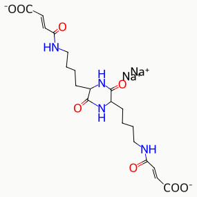 O=C([O-])C=CC(=O)NCCCCC1NC(=O)C(CCCCNC(=O)/C=C/C(=O)[O-])NC1=O.[Na+].[Na+]